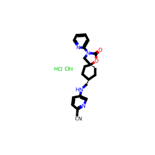 Cl.Cl.N#Cc1ccc(NC[C@H]2CC[C@]3(CC2)CN(c2ccccn2)C(=O)O3)cn1